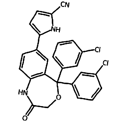 N#Cc1ccc(-c2ccc3c(c2)C(c2cccc(Cl)c2)(c2cccc(Cl)c2)OCC(=O)N3)[nH]1